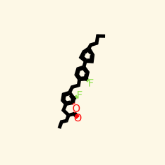 CCCCc1ccc(-c2ccc(CCc3ccc4c(c3F)OC(=O)C(CCC)C4)c(F)c2)cc1